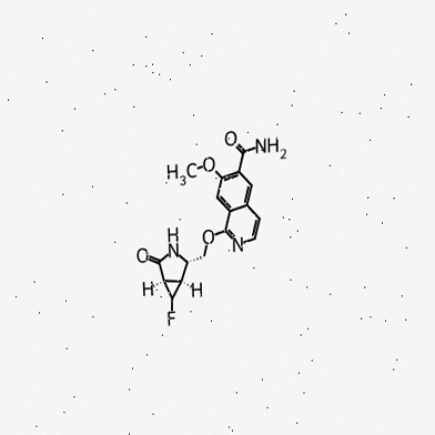 COc1cc2c(OC[C@H]3NC(=O)[C@@H]4C(F)[C@@H]43)nccc2cc1C(N)=O